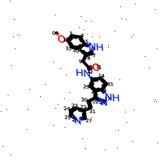 COc1ccc2[nH]cc(CC(=O)Nc3ccc4[nH]nc(/C=C/c5cccnc5)c4c3)c2c1